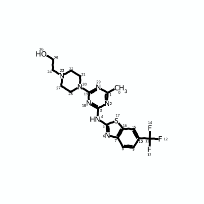 Cc1nc(Nc2nc3ccc(C(F)(F)F)cc3s2)nc(N2CCN(CCO)CC2)n1